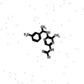 CCC(=O)Nc1cnc(NC(C)c2cccc(C(F)(F)F)c2)c(C)n1